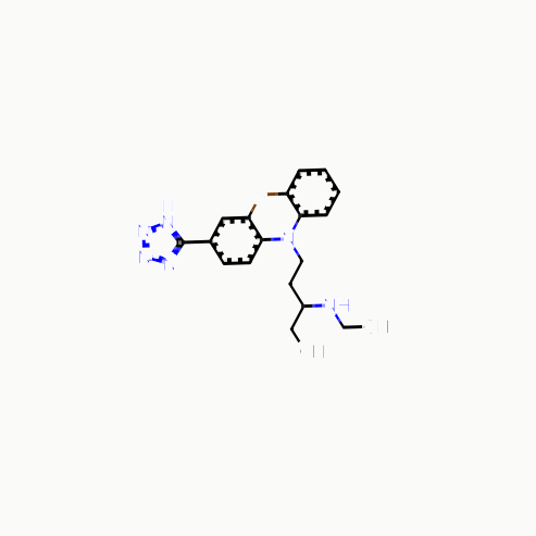 CCNC(CC)CCN1c2ccccc2Sc2cc(-c3nnn[nH]3)ccc21